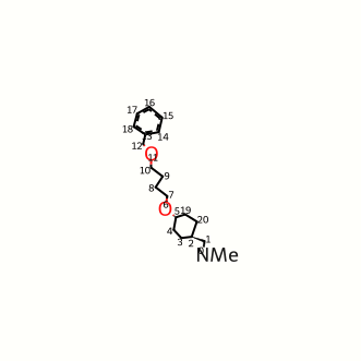 CNC[C@H]1CC[C@H](OCCCCOCc2ccccc2)CC1